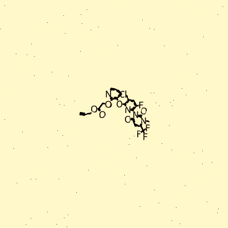 C#CCOC(=O)COc1ncccc1Oc1nc(-n2c(=O)cc(C(F)(F)F)n(C)c2=O)c(F)cc1Cl